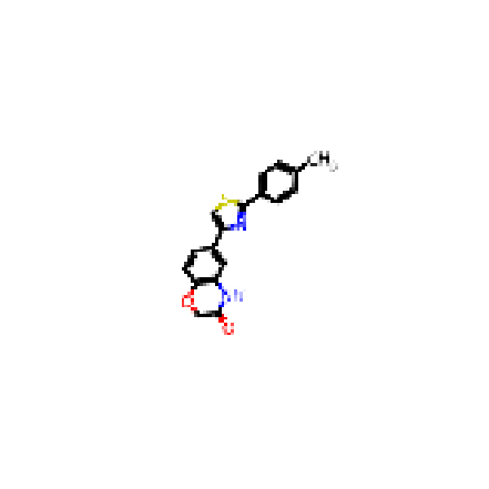 Cc1ccc(-c2nc(-c3ccc4c(c3)NC(=O)CO4)cs2)cc1